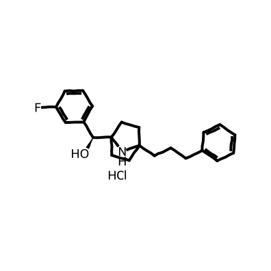 Cl.O[C@@H](c1cccc(F)c1)C12CCC(CCCc3ccccc3)(CC1)N2